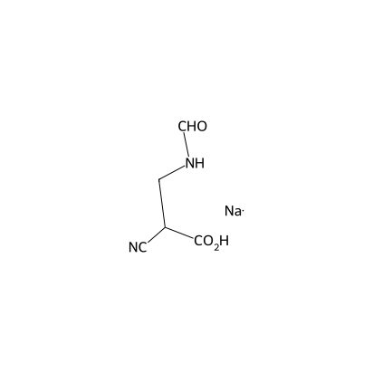 N#CC(CNC=O)C(=O)O.[Na]